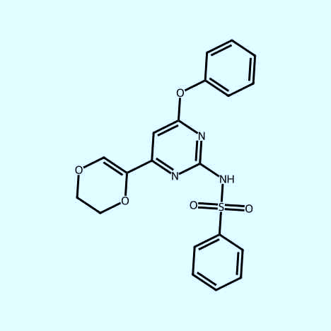 O=S(=O)(Nc1nc(Oc2ccccc2)cc(C2=COCCO2)n1)c1ccccc1